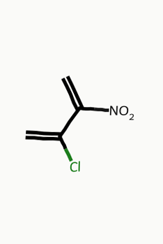 C=C(Cl)C(=C)[N+](=O)[O-]